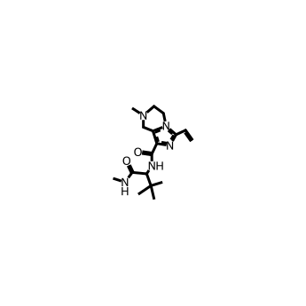 C=Cc1nc(C(=O)NC(C(=O)NC)C(C)(C)C)c2n1CCN(C)C2